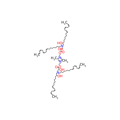 CC/C=C\C/C=C\C/C=C\CCCCCCC(O)CN(CCC(=O)OCCN1CC(C)N(CCOC(=O)CCN(CC(O)CCCCCC/C=C\C/C=C\C/C=C\CC)CC(O)CCCCCC/C=C\C/C=C\C/C=C\CC)CC1C)CC(O)CCCCCC/C=C\C/C=C\C/C=C\CC